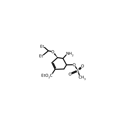 CCOC(=O)C1=C[C@@H](OC(CC)CC)C(N)C(OS(C)(=O)=O)C1